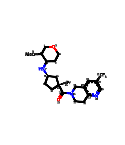 COC1COCCC1N[C@@H]1CC[C@](C(=O)N2CCc3ncc(C(F)(F)F)cc3C2)(C(C)C)C1